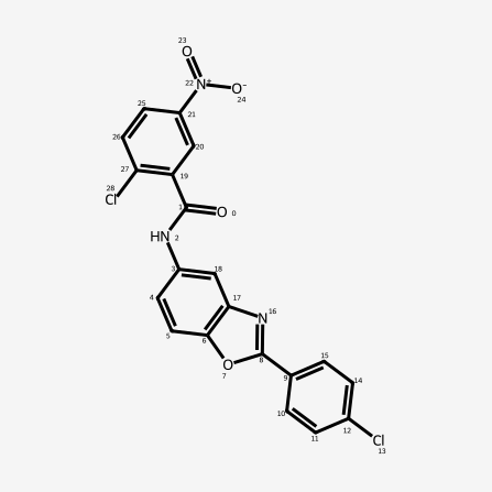 O=C(Nc1ccc2oc(-c3ccc(Cl)cc3)nc2c1)c1cc([N+](=O)[O-])ccc1Cl